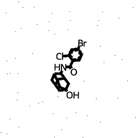 O=C(NC1C2CC3CC1CC(O)(C3)C2)c1ccc(Br)cc1Cl